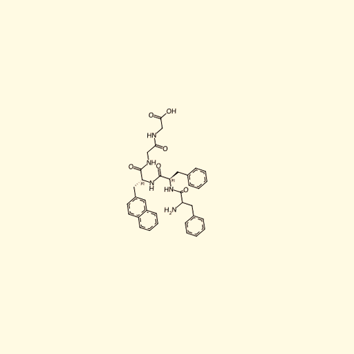 NC(Cc1ccccc1)C(=O)N[C@H](Cc1ccccc1)C(=O)N[C@H](Cc1ccc2ccccc2c1)C(=O)NCC(=O)NCC(=O)O